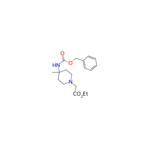 CCOC(=O)CN1CCC(C)(NC(=O)OCc2ccccc2)CC1